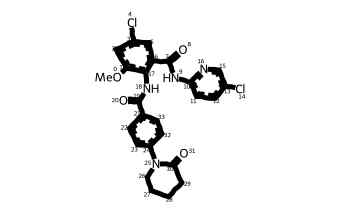 COc1cc(Cl)cc(C(=O)Nc2ccc(Cl)cn2)c1NC(=O)c1ccc(N2CCCCC2=O)cc1